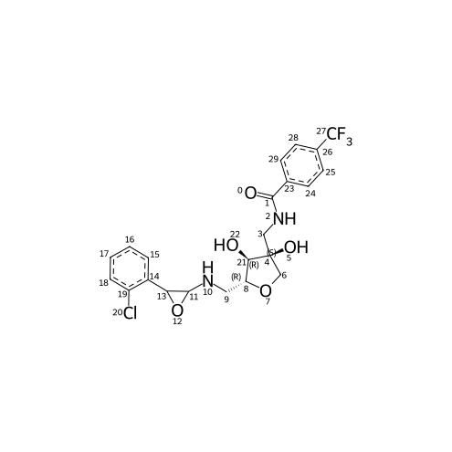 O=C(NC[C@]1(O)CO[C@H](CNC2OC2c2ccccc2Cl)[C@H]1O)c1ccc(C(F)(F)F)cc1